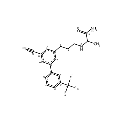 CC(NCCCc1cc(-c2cccc(C(F)(F)F)c2)nc(C#N)n1)C(N)=O